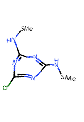 CSNc1nc(Cl)nc(NSC)n1